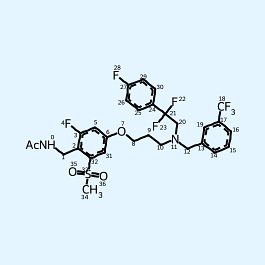 CC(=O)NCc1c(F)cc(OCCCN(Cc2cccc(C(F)(F)F)c2)CC(F)(F)c2ccc(F)cc2)cc1S(C)(=O)=O